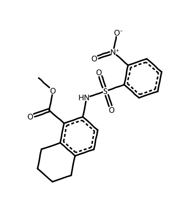 COC(=O)c1c(NS(=O)(=O)c2ccccc2[N+](=O)[O-])ccc2c1CCCC2